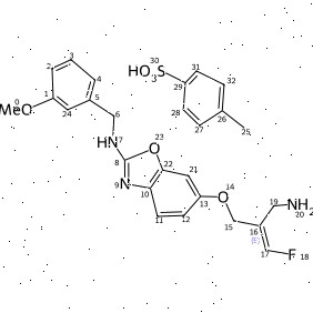 COc1cccc(CNc2nc3ccc(OC/C(=C/F)CN)cc3o2)c1.Cc1ccc(S(=O)(=O)O)cc1